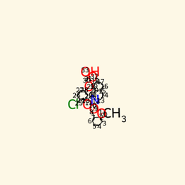 COc1ccccc1COC(=O)N1CCc2ccccc2[C@H]1c1cc(Cl)ccc1OCC(=O)O